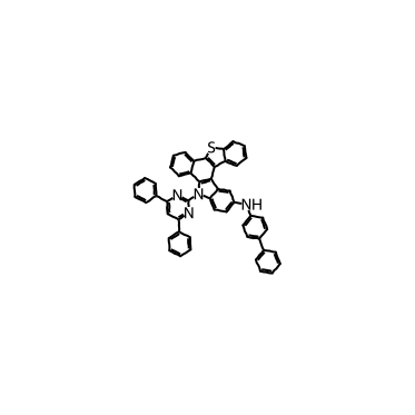 c1ccc(-c2ccc(Nc3ccc4c(c3)c3c5c6ccccc6sc5c5ccccc5c3n4-c3nc(-c4ccccc4)cc(-c4ccccc4)n3)cc2)cc1